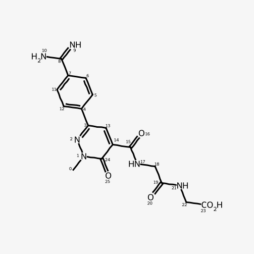 Cn1nc(-c2ccc(C(=N)N)cc2)cc(C(=O)NCC(=O)NCC(=O)O)c1=O